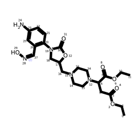 CCOC(=O)CC(C(=O)OCC)N1CCN(CC2CN(c3ccc(N)cc3/C=N\O)C(=O)O2)CC1